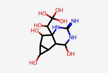 N=C1NC(O)C2C3C(O)C3C(O)C2(C(O)C(O)(O)O)N1